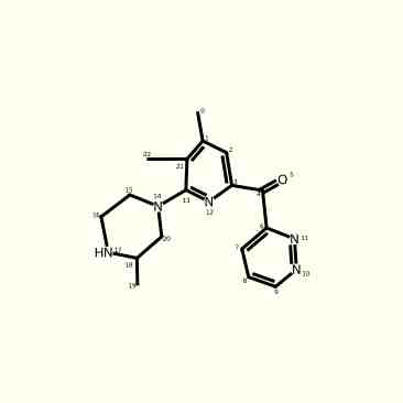 Cc1cc(C(=O)c2cccnn2)nc(N2CCNC(C)C2)c1C